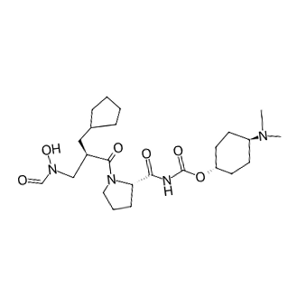 CN(C)[C@H]1CC[C@H](OC(=O)NC(=O)[C@@H]2CCCN2C(=O)[C@H](CC2CCCC2)CN(O)C=O)CC1